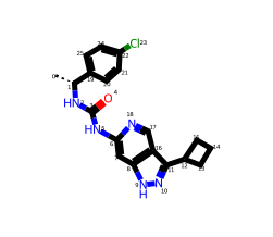 C[C@@H](NC(=O)Nc1cc2[nH]nc(C3CCC3)c2cn1)c1ccc(Cl)cc1